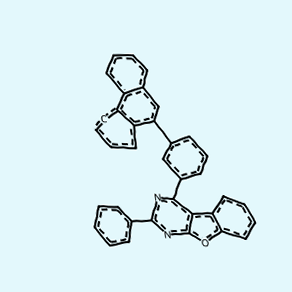 c1ccc(-c2nc(-c3cccc(-c4cc5ccccc5c5ccccc45)c3)c3c(n2)oc2ccccc23)cc1